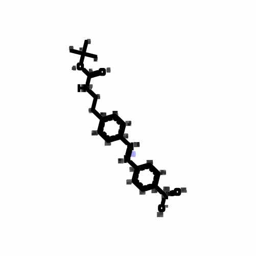 CC(C)(C)OC(=O)NCCc1ccc(/N=N/c2ccc([N+](=O)[O-])cc2)cc1